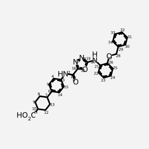 O=C(Nc1ccc(C2CCC(C(=O)O)CC2)cc1)c1nnc(Nc2ccccc2OCc2ccccc2)o1